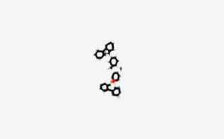 CN1c2ccc(-n3c4ccccc4c4ccccc43)cc2Oc2cc(-n3c4ccccc4c4ccccc43)ccc21